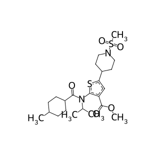 COC(=O)c1cc(C2CCN(S(C)(=O)=O)CC2)sc1N(C(=O)C1CCC(C)CC1)C(C)C